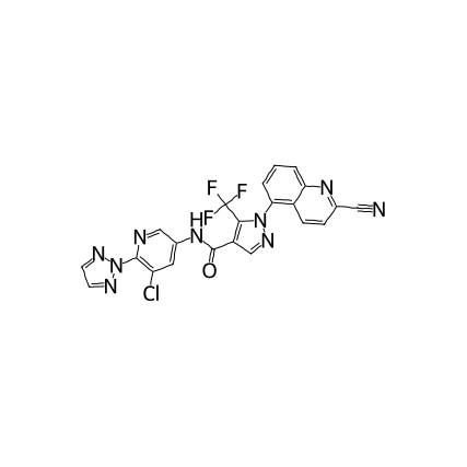 N#Cc1ccc2c(-n3ncc(C(=O)Nc4cnc(-n5nccn5)c(Cl)c4)c3C(F)(F)F)cccc2n1